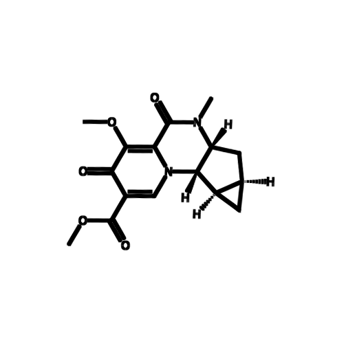 COC(=O)c1cn2c(c(OC)c1=O)C(=O)N(C)[C@@H]1C[C@H]3C[C@H]3[C@@H]12